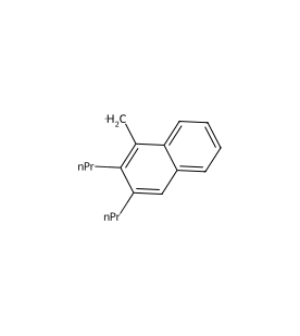 [CH2]c1c(CCC)c(CCC)cc2ccccc12